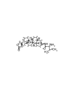 CC(C)C(N)C(=O)N[C@H]1CC[C@@]2(C)[C@H](CC[C@@H]3[C@@H]2CC[C@]2(C)[C@@H](C4=CC(=O)OC4)CC[C@]32O)C1